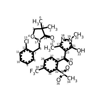 CC1(C)CON(Cc2ccccc2Cl)C1=O.Cc1nn(C)c(O)c1C(=O)c1ccc(C(F)(F)F)cc1S(C)(=O)=O